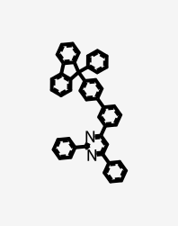 c1ccc(-c2cc(-c3cccc(-c4ccc(C5(c6ccccc6)c6ccccc6-c6ccccc65)cc4)c3)nc(-c3ccccc3)n2)cc1